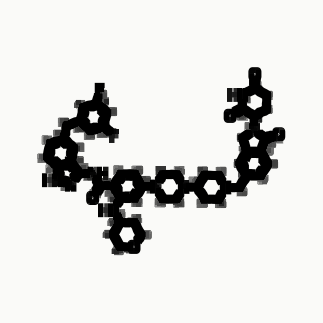 O=C1CCC(N2Cc3cc(CN4CCC(N5CCN(c6ccc(C(=O)Nc7n[nH]c8ccc(Cc9cc(F)cc(F)c9)cc78)c(NC7CCOCC7)c6)CC5)CC4)ccc3C2=O)C(=O)N1